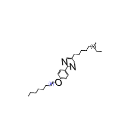 CCCCCC/C=C/Oc1ccc(-c2ncc(CCCCC[C@@H](C)CC)cn2)cc1